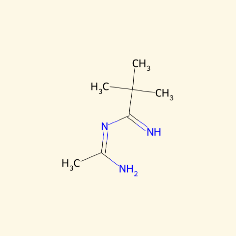 C/C(N)=N/C(=N)C(C)(C)C